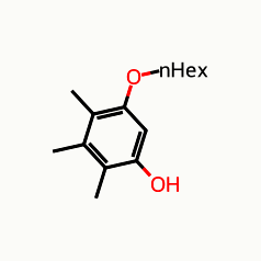 CCCCCCOc1cc(O)c(C)c(C)c1C